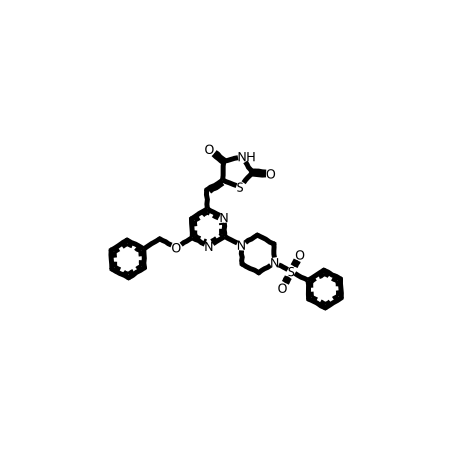 O=C1NC(=O)C(=Cc2cc(OCc3ccccc3)nc(N3CCN(S(=O)(=O)c4ccccc4)CC3)n2)S1